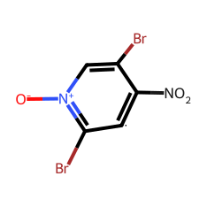 O=[N+]([O-])c1[c]c(Br)[n+]([O-])cc1Br